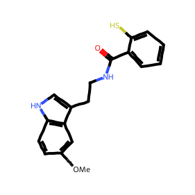 COc1ccc2[nH]cc(CCNC(=O)c3ccccc3S)c2c1